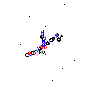 O=C(NS(=O)(=O)c1cnc(NCC2CC[C@@H](N=S3(=O)CCCCC3)CO2)c([N+](=O)[O-])c1)c1ccc(N2CCC3(CC2)CC(N2CCC[C@@H]2c2ccccc2C2CC2)C3)cc1Oc1cnc2[nH]ccc2c1